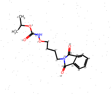 CC(C)OC(=O)NOCCCCN1C(=O)c2ccccc2C1=O